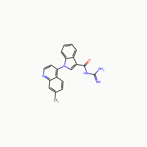 N=C(N)NC(=O)c1cn(-c2ccnc3cc(C(F)(F)F)ccc23)c2ccccc12